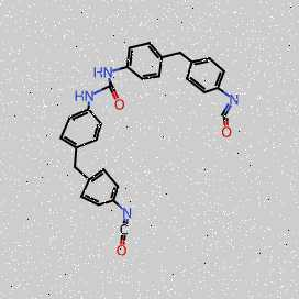 O=C=Nc1ccc(Cc2ccc(NC(=O)Nc3ccc(Cc4ccc(N=C=O)cc4)cc3)cc2)cc1